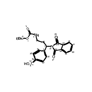 CC(C)(C)OC(=O)NCCC(c1ccc(C(=O)O)cc1)N1C(=O)c2ccccc2C1=O